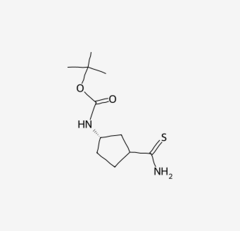 CC(C)(C)OC(=O)N[C@H]1CCC(C(N)=S)C1